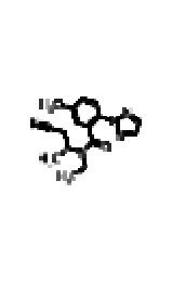 CCN(C(=O)c1cc(C)ccc1-n1nccn1)[C@@H](C)CC#N